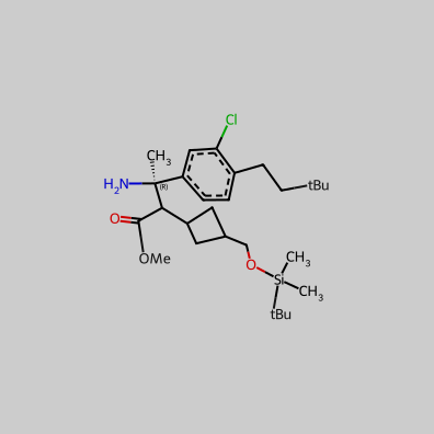 COC(=O)C(C1CC(CO[Si](C)(C)C(C)(C)C)C1)[C@@](C)(N)c1ccc(CCC(C)(C)C)c(Cl)c1